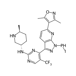 Cc1noc(C)c1-c1ccc2c(-c3nc(N[C@H]4CC[C@H](C)NC4)ncc3C(F)(F)F)nn(PI)c2n1